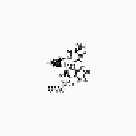 CON1CCN(C(C)Oc2cc(C)c(O)cc2C(C)C)C(c2ccccc2)C1.Cl.Cl